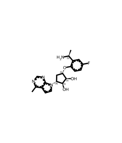 Cc1ncnc2c1ccn2[C@@H]1C[C@H](Oc2ccc(F)cc2[C@H](C)N)[C@@H](O)[C@H]1O